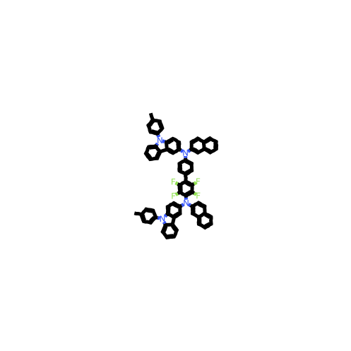 Cc1ccc(-n2c3ccccc3c3cc(N(c4ccc(-c5c(F)c(F)c(N(c6ccc7ccccc7c6)c6ccc7c(c6)c6ccccc6n7-c6ccc(C)cc6)c(F)c5F)cc4)c4ccc5ccccc5c4)ccc32)cc1